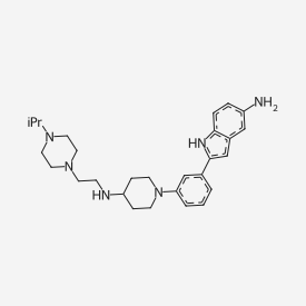 CC(C)N1CCN(CCNC2CCN(c3cccc(-c4cc5cc(N)ccc5[nH]4)c3)CC2)CC1